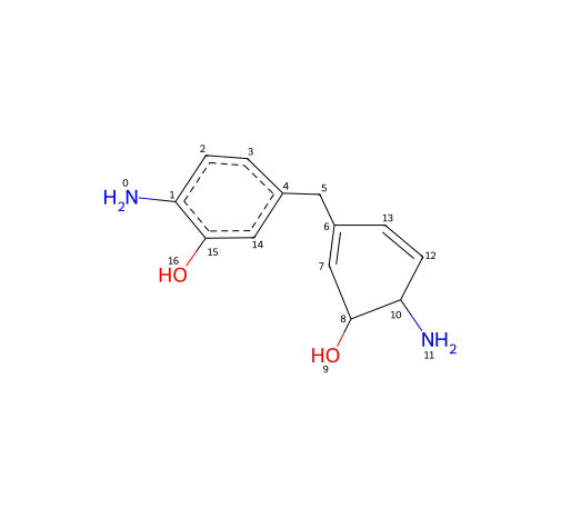 Nc1ccc(CC2=CC(O)C(N)C=C2)cc1O